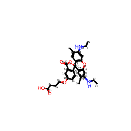 CCNc1cc2c(cc1C)C1(OC(=O)c3cc(OCCCC(=O)O)ccc31)c1cc(C)c(NCC)cc1O2